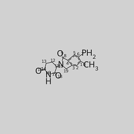 Cc1cc2c(cc1P)C(=O)N(C1CCC(=O)NC1=O)C2